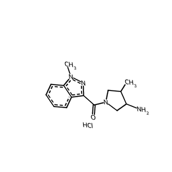 CC1CN(C(=O)c2nn(C)c3ccccc23)CC1N.Cl